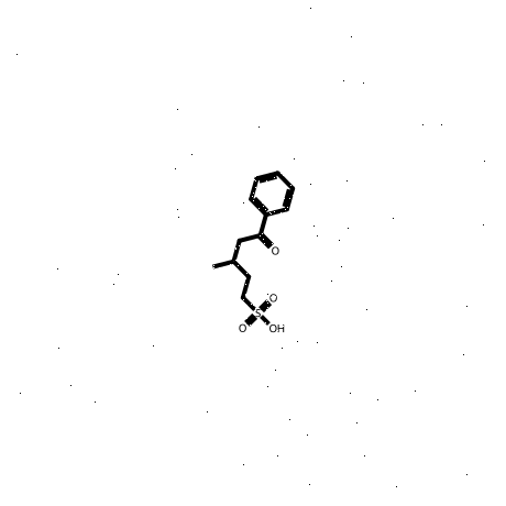 CC(CCS(=O)(=O)O)CC(=O)c1ccccc1